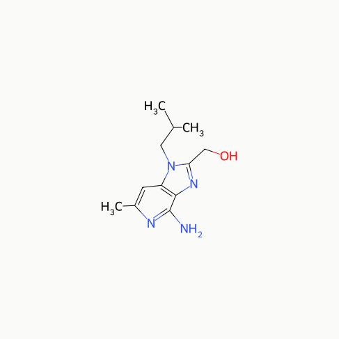 Cc1cc2c(nc(CO)n2CC(C)C)c(N)n1